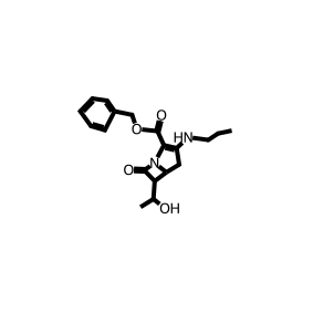 CCCNC1=C(C(=O)OCc2ccccc2)N2C(=O)C(C(C)O)C2C1